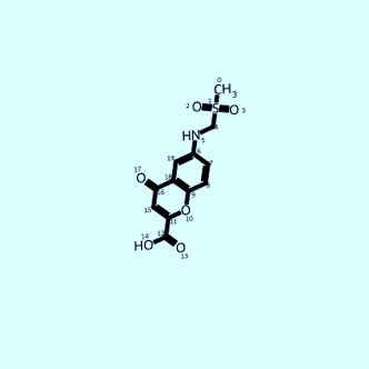 CS(=O)(=O)CNc1ccc2oc(C(=O)O)cc(=O)c2c1